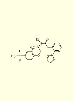 CCN(C(=O)Cc1cccnc1-n1nccn1)[C@@H](C)COc1ccc(C(C)(F)F)cn1